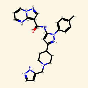 Cc1ccc(-n2nc(C3CCN(Cc4ccn[nH]4)CC3)cc2NC(=O)c2cnn3cccnc23)cc1